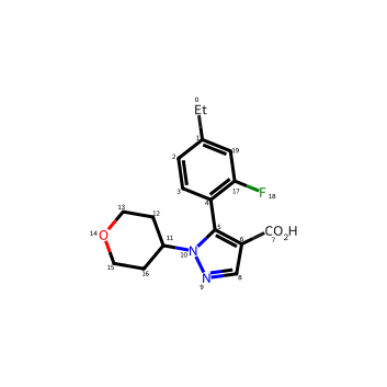 CCc1ccc(-c2c(C(=O)O)cnn2C2CCOCC2)c(F)c1